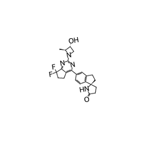 C[C@H]1[C@H](O)CN1c1nc(-c2ccc3c(c2)CC[C@]32CCC(=O)N2)c2c(n1)C(F)(F)CC2